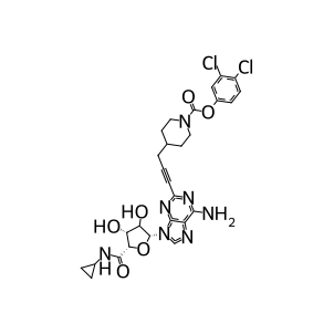 Nc1nc(C#CCC2CCN(C(=O)Oc3ccc(Cl)c(Cl)c3)CC2)nc2c1ncn2[C@@H]1O[C@H](C(=O)NC2CC2)[C@H](O)C1O